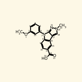 COc1cccc(-n2c3ccc(C(=O)O)cc3c3cn(C)nc32)c1